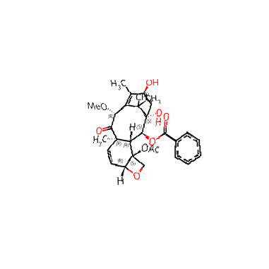 CO[C@H]1C(=O)[C@]2(C)C=C[C@H]3OC[C@@]3(OC(C)=O)[C@H]2[C@H](OC(=O)c2ccccc2)[C@]2(O)C[C@H](O)C(C)=C1C2(C)C